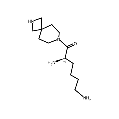 NCCCC[C@@H](N)C(=O)N1CCC2(CC1)CNC2